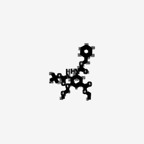 CCOC(=O)C1=C[C@@H](OCOC)[C@H](NC(=O)OC(C)(C)C)[C@@H](NC(=O)OCc2ccccc2)C1